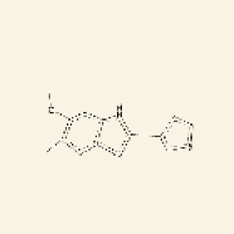 COc1cc2[nH]c(-c3ccsc3)cc2cc1C